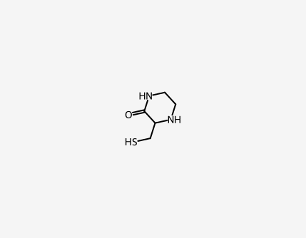 O=C1NCCNC1CS